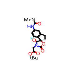 CNC(=O)Nc1cc(F)c2c(c1)CC[C@@]21OC(=O)N(CC(=O)OC(C)(C)C)C1=O